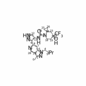 Cc1nn(CC(C)C)c2cc(-c3n[nH]cc3NC(=O)N3CCC(O)(C(F)(F)F)CC34CC4)ncc12